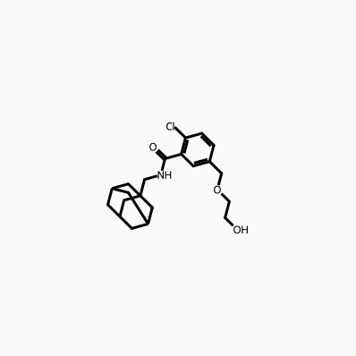 O=C(NCC12CC3CC(CC(C3)C1)C2)c1cc(COCCO)ccc1Cl